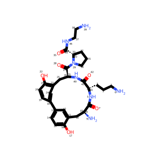 NCCC[C@@H]1NC(=O)[C@@H](N)Cc2cc(ccc2O)-c2ccc(O)c(c2)C[C@@H](C(=O)N2CCC[C@H]2C(=O)NCCN)NC1=O